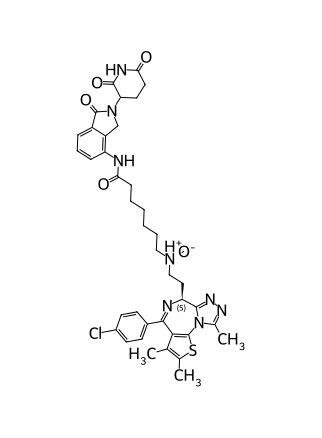 Cc1sc2c(c1C)C(c1ccc(Cl)cc1)=N[C@@H](CC[NH+]([O-])CCCCCCC(=O)Nc1cccc3c1CN(C1CCC(=O)NC1=O)C3=O)c1nnc(C)n1-2